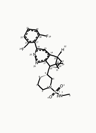 CNS(=O)(=O)N1CCC[C@H]([C@@]23CC[C@@H](c4cc(-c5c(F)cccc5F)nnc42)C3(C)C)C1